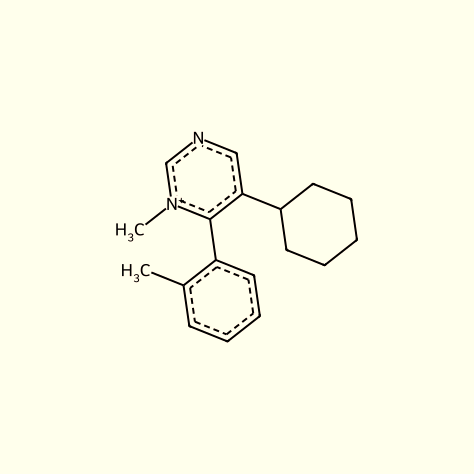 Cc1ccccc1-c1c(C2CCCCC2)cnc[n+]1C